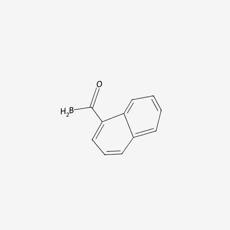 BC(=O)c1cccc2ccccc12